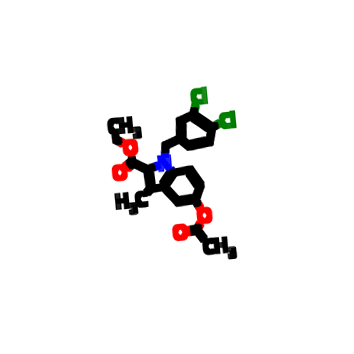 CCOC(=O)c1c(C)c2cc(OC(C)=O)ccc2n1Cc1ccc(Cl)c(Cl)c1